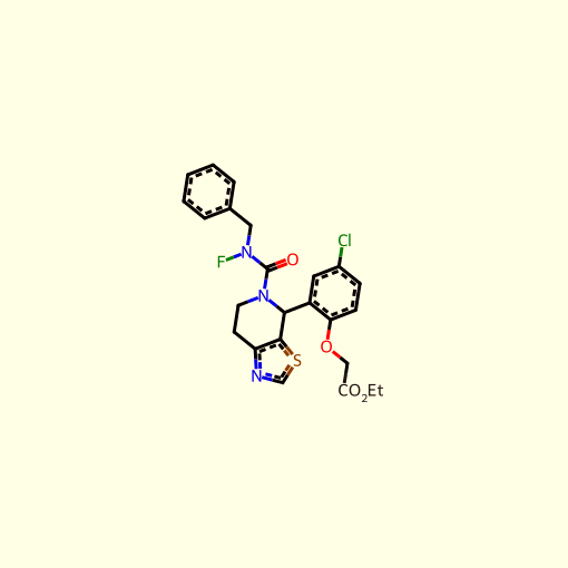 CCOC(=O)COc1ccc(Cl)cc1C1c2scnc2CCN1C(=O)N(F)Cc1ccccc1